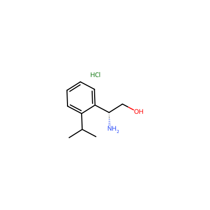 CC(C)c1ccccc1[C@@H](N)CO.Cl